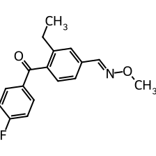 CCc1cc(C=NOC)ccc1C(=O)c1ccc(F)cc1